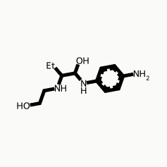 CCC(NCCO)C(O)Nc1ccc(N)cc1